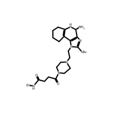 CCCCc1nc2c(n1CCN1CCN(C(=O)CCC(=O)NCC)CC1)C1=C(CCCC1)NC2N